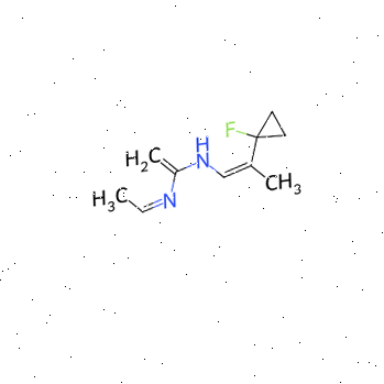 C=C(/N=C\C)N/C=C(/C)C1(F)CC1